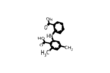 Cc1cc(C)c(C(=O)O)c(Nc2ccccc2C(=O)O)c1